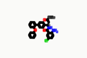 COC(=O)C[C@H](NC(=O)c1cc(Cl)ccc1N)c1ccc(-c2ccccc2Oc2ccccc2)cc1